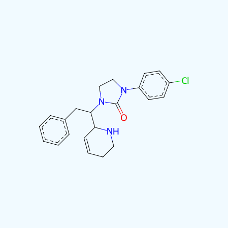 O=C1N(c2ccc(Cl)cc2)CCN1C(Cc1ccccc1)C1C=CCCN1